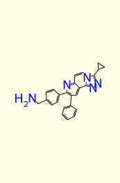 NCc1ccc(-c2nc3ccn4c(C5CC5)nnc4c3cc2-c2ccccc2)cc1